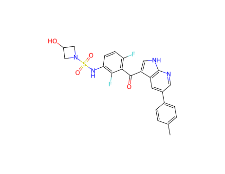 Cc1ccc(-c2cnc3[nH]cc(C(=O)c4c(F)ccc(NS(=O)(=O)N5CC(O)C5)c4F)c3c2)cc1